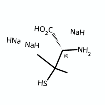 CC(C)(S)[C@@H](N)C(=O)O.[NaH].[NaH].[NaH]